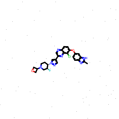 Cc1nc2ccc(Oc3ccc4ncc(-c5cnn([C@H]6CCN(C7COC7)C[C@@H]6F)c5)nc4c3Cl)cc2[nH]1